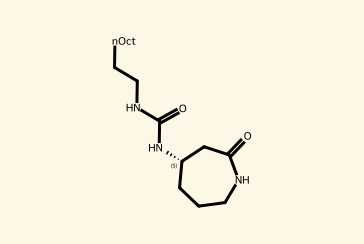 CCCCCCCCCCNC(=O)N[C@H]1CCCNC(=O)C1